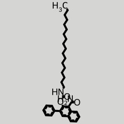 CCCCCCCCCCCCCCCCCCNC(=O)Oc1c(-c2ccccc2)cc2ccccc2c1C(N)=O